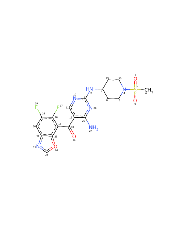 CS(=O)(=O)N1CCC(Nc2ncc(C(=O)c3c(F)c(F)cc4ncoc34)c(N)n2)CC1